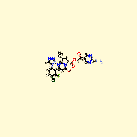 C[C@@H]1C[C@H](C(=O)OCC(=O)c2cnc(N)nc2)n2c1nc(-c1c(-n3cnnn3)ccc(Cl)c1F)cc2=O